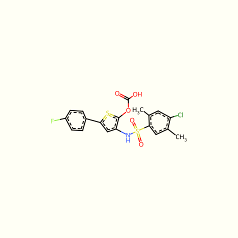 Cc1cc(S(=O)(=O)Nc2cc(-c3ccc(F)cc3)sc2OC(=O)O)c(C)cc1Cl